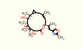 C/C1=C/C[C@@H](/C(C)=C/c2coc(C)n2)OC(=O)C[C@H](O)C(C)(C)C(=O)[C@H](C)[C@@H](O)[C@@H](C)C2CC2C1